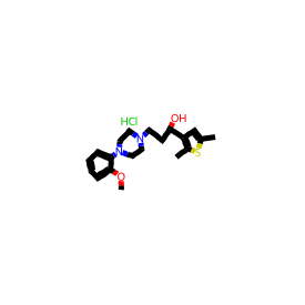 COc1ccccc1N1CCN(CCC(O)c2cc(C)sc2C)CC1.Cl